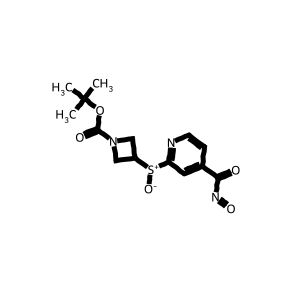 CC(C)(C)OC(=O)N1CC([S+]([O-])c2cc(C(=O)N=O)ccn2)C1